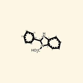 O=C(O)N1c2ccccc2NC1c1ccccc1